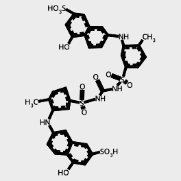 Cc1ccc(S(=O)(=O)NC(=O)NS(=O)(=O)c2ccc(C)c(Nc3ccc4c(O)cc(S(=O)(=O)O)cc4c3)c2)cc1Nc1ccc2c(O)cc(S(=O)(=O)O)cc2c1